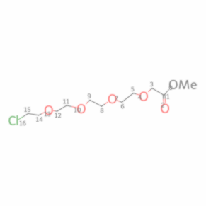 COC(=O)COCCOCCOCCOCCCl